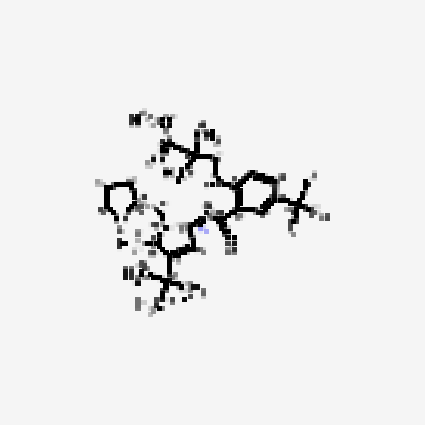 COC(=O)C(C)(C)COc1ccc(C(F)(F)F)cc1C(=O)/N=c1\cc(C(C)(C)C)n(C)n1C[C@H]1CCCO1